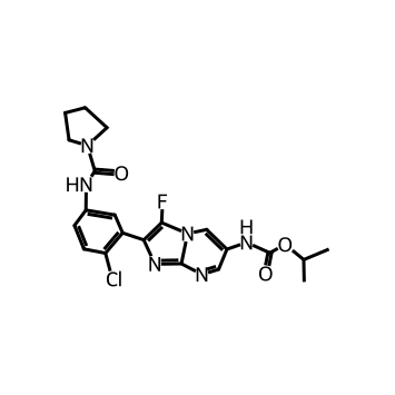 CC(C)OC(=O)Nc1cnc2nc(-c3cc(NC(=O)N4CCCC4)ccc3Cl)c(F)n2c1